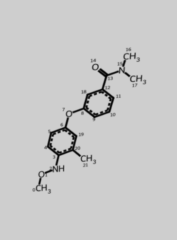 CONc1ccc(Oc2cccc(C(=O)N(C)C)c2)cc1C